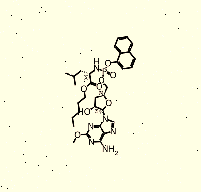 CCCCCOC(=O)[C@H](CC(C)C)NP(=O)(OC[C@@H]1C[C@H](O)[C@H](n2cnc3c(N)nc(OC)nc32)O1)Oc1cccc2ccccc12